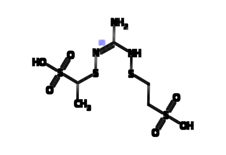 CC(S/N=C(/N)NSCCS(=O)(=O)O)S(=O)(=O)O